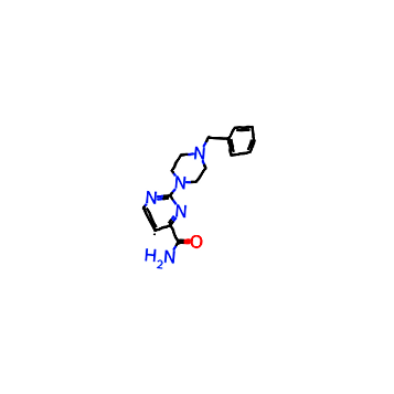 NC(=O)c1[c]cnc(N2CCN(Cc3ccccc3)CC2)n1